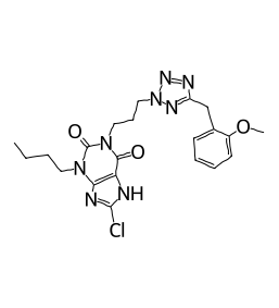 CCCCn1c(=O)n(CCCn2nnc(Cc3ccccc3OC)n2)c(=O)c2[nH]c(Cl)nc21